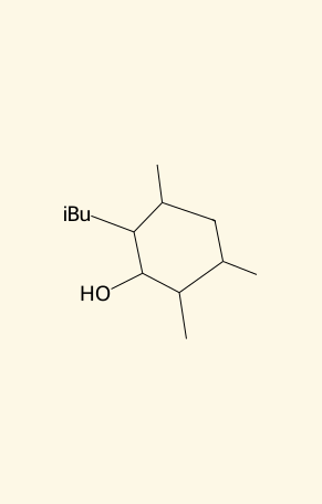 CCC(C)C1C(C)CC(C)C(C)C1O